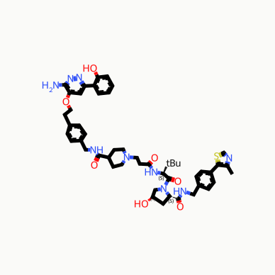 Cc1ncsc1-c1ccc(CNC(=O)[C@@H]2C[C@@H](O)CN2C(=O)[C@@H](NC(=O)CCN2CCC(C(=O)NCc3ccc(CCOc4cc(-c5ccccc5O)nnc4N)cc3)CC2)C(C)(C)C)cc1